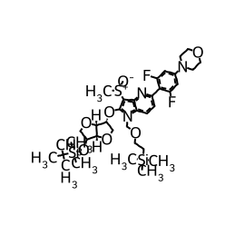 C[S+]([O-])c1c(O[C@@H]2CO[C@@H]3C(O[Si](C)(C)C(C)(C)C)CO[C@@H]32)n(COCC[Si](C)(C)C)c2ccc(-c3c(F)cc(N4CCOCC4)cc3F)nc12